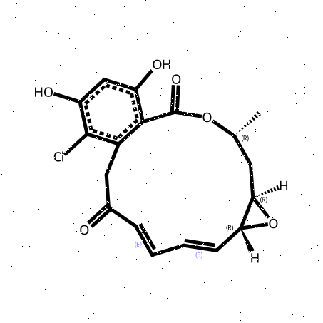 C[C@@H]1C[C@H]2O[C@@H]2/C=C/C=C/C(=O)Cc2c(Cl)c(O)cc(O)c2C(=O)O1